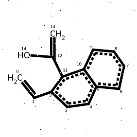 C=Cc1ccc2ccccc2c1C(=C)O